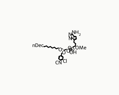 CCCCCCCCCCCCCCCCCCOC[C@H](COP(=O)(O)OC[C@H](CCc1ccc2c(N)ncnn12)OC)OCc1ccc(C#N)c(Cl)c1